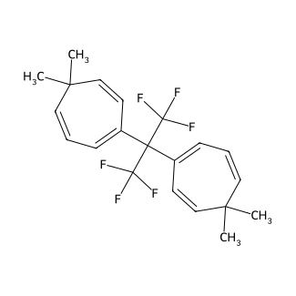 CC1(C)C=CC=C(C(C2=CC=CC(C)(C)C=C2)(C(F)(F)F)C(F)(F)F)C=C1